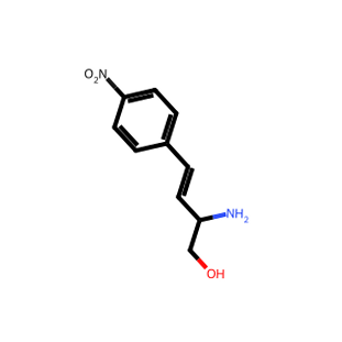 NC(C=Cc1ccc([N+](=O)[O-])cc1)CO